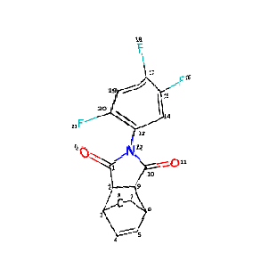 O=C1C2C3C=CC(CC3)C2C(=O)N1c1cc(F)c(F)cc1F